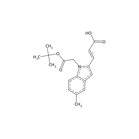 Cc1ccc2c(c1)cc(/C=C/C(=O)O)n2CC(=O)OC(C)(C)C